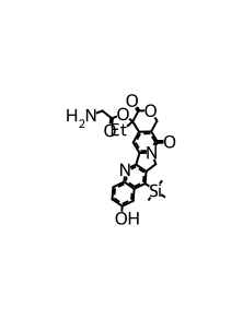 CCC1(OC(=O)CN)C(=O)OCc2c1cc1n(c2=O)Cc2c-1nc1ccc(O)cc1c2[Si](C)(C)C